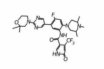 CC1CN(c2cc(F)c(-c3cnc(N4CCOC(C)(C)C4)nc3)cc2NC(=O)c2c[nH]c(=O)cc2C(F)(F)F)CC(C)N1C